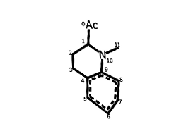 CC(=O)C1CCc2ccccc2N1C